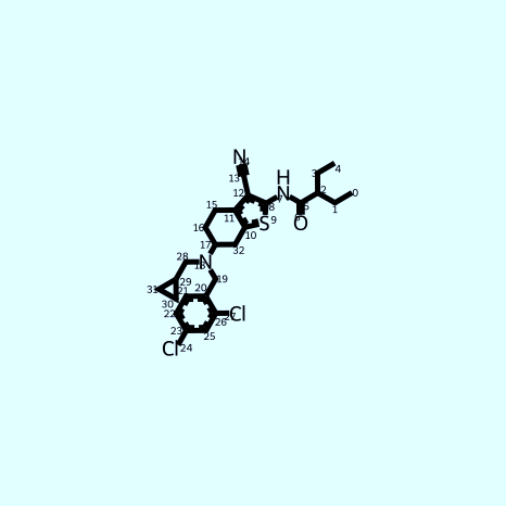 CCC(CC)C(=O)Nc1sc2c(c1C#N)CCC(N(Cc1ccc(Cl)cc1Cl)CC1CC1)C2